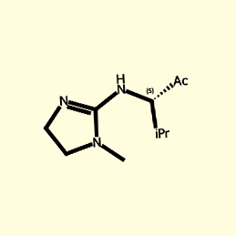 CC(=O)[C@@H](NC1=NCCN1C)C(C)C